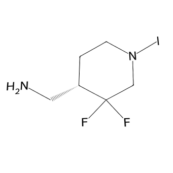 NC[C@@H]1CCN(I)CC1(F)F